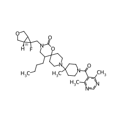 CCCCC1CN(CC2(F)C3COC[C@H]32)C(=O)OC12CCN(C1(C)CCN(C(=O)c3c(C)ncnc3C)CC1)CC2